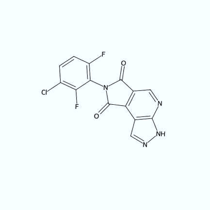 O=C1c2cnc3[nH]ncc3c2C(=O)N1c1c(F)ccc(Cl)c1F